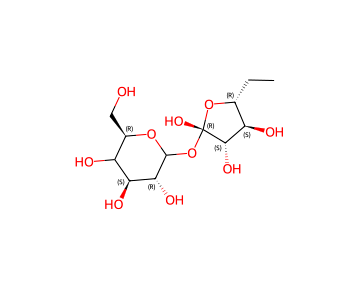 CC[C@H]1O[C@@](O)(OC2O[C@H](CO)C(O)[C@H](O)[C@H]2O)[C@@H](O)[C@@H]1O